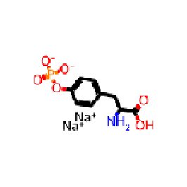 NC(Cc1ccc(OP(=O)([O-])[O-])cc1)C(=O)O.[Na+].[Na+]